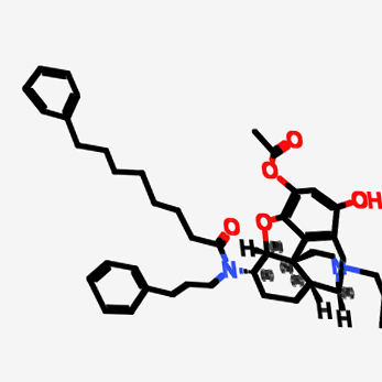 CC(=O)Oc1cc(O)c2c3c1O[C@H]1[C@@H](N(CCCc4ccccc4)C(=O)CCCCCCCc4ccccc4)CC[C@H]4[C@@H](C2)N(CC2CC2)CC[C@@]341